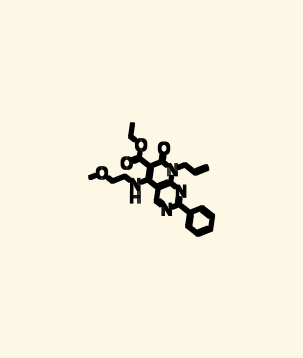 C=CCn1c(=O)c(C(=O)OCC)c(NCCOC)c2cnc(-c3ccccc3)nc21